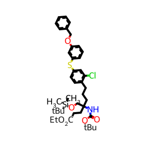 CCOC(=O)CCC(CCCc1ccc(Sc2cccc(OCc3ccccc3)c2)cc1Cl)(CO[Si](C)(C)C(C)(C)C)NC(=O)OC(C)(C)C